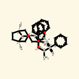 Cc1nc2ccccc2n1[C@H]1C[C@H]2CC[C@@H](C1)N2CCC(C)(CN(C)S(=O)(=O)c1ccccc1)c1ccccc1